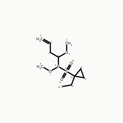 C=CCC(OC)N(OC)S(=O)(=O)C1(CI)CC1